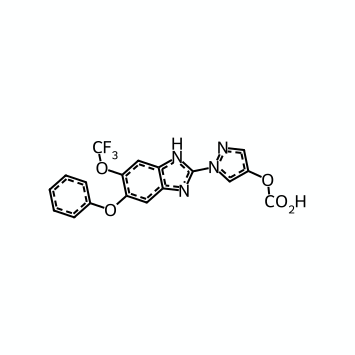 O=C(O)Oc1cnn(-c2nc3cc(Oc4ccccc4)c(OC(F)(F)F)cc3[nH]2)c1